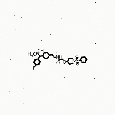 CN(C)C(c1ccc(F)cc1)C1CCC(CCNC(=O)COC2CCN(S(=O)(=O)c3ccccc3)CC2)CC1